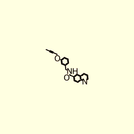 CC#CCOc1cccc(CNC(=O)c2ccc3ncccc3c2)c1